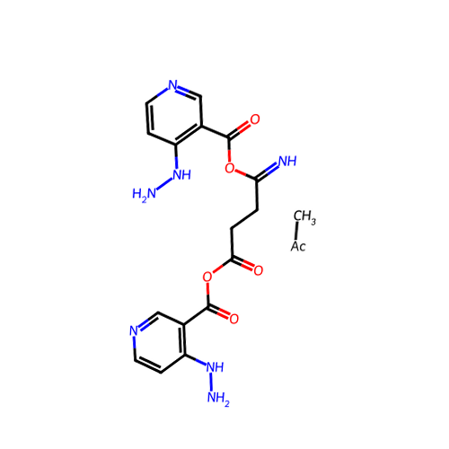 CC(C)=O.N=C(CCC(=O)OC(=O)c1cnccc1NN)OC(=O)c1cnccc1NN